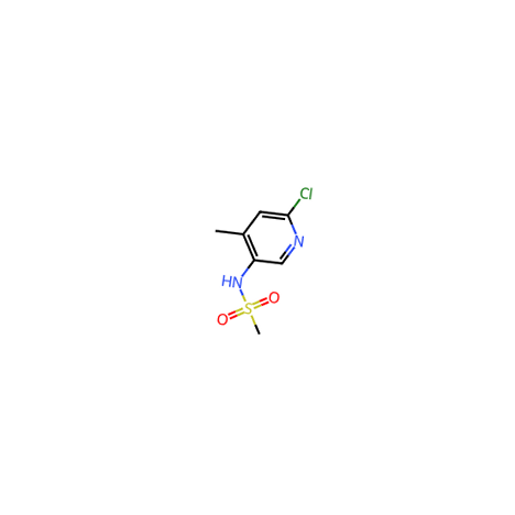 Cc1cc(Cl)ncc1NS(C)(=O)=O